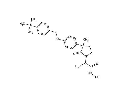 CC(C(=O)NO)N1CCC(C)(c2ccc(OCc3ccc(C(C)(C)C)cc3)cc2)C1=O